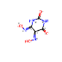 O=C1NC(=O)C(=NO)C(=NO)N1